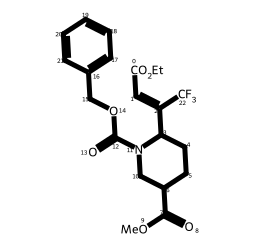 CCOC(=O)C=C(C1CCC(C(=O)OC)CN1C(=O)OCc1ccccc1)C(F)(F)F